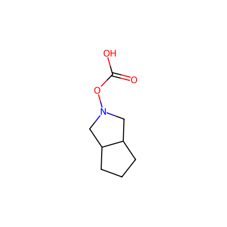 O=C(O)ON1CC2CCCC2C1